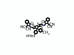 CCCCCCc1ccc(C2(c3ccc(C)cc3)c3cc(/C=C4\C(=O)c5ccccc5C4=C(C#N)C#N)sc3-c3sc4cc(/C=C5\C(=O)c6ccccc6C5=C(C#N)C#N)sc4c32)cc1